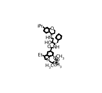 CCc1cn2c3c(cc(C(=O)N[C@@H](Cc4ccccc4)[C@H](O)CN[C@@H]4CCOc5cc(C(C)C)ccc54)cc13)N(C)S(=O)(=O)C(C)(C)C2